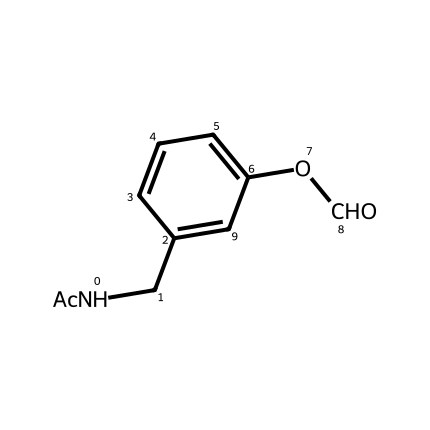 CC(=O)NCc1cccc(OC=O)c1